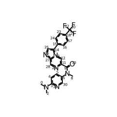 CN(C)c1ccc(N(C)C(=O)c2cn3c(-c4ccc(C(F)(F)F)cc4)cnc3cn2)cn1